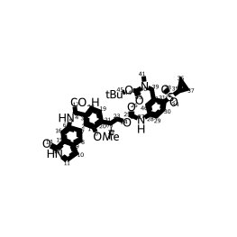 COc1cc(C(Nc2ccc3cc[nH]c(=O)c3c2)C(=O)O)ccc1[C@@H](F)COC(=O)Nc1ccc(S(=O)(=O)C2CC2)c(CN(C)C(=O)OC(C)(C)C)c1